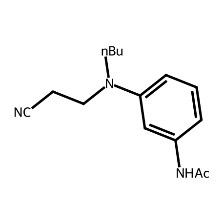 CCCCN(CCC#N)c1cccc(NC(C)=O)c1